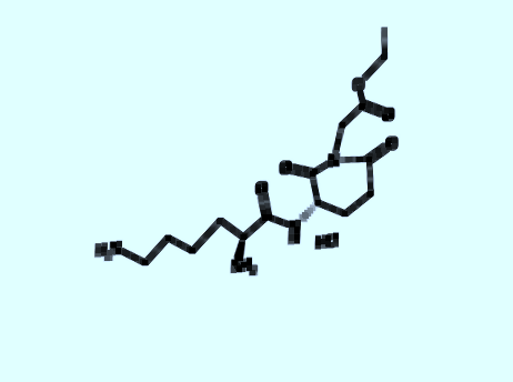 CCOC(=O)CN1C(=O)CC[C@H](NC(=O)[C@@H](N)CCCCN)C1=O.Cl